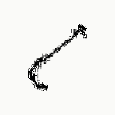 Cc1sc2c(c1C)C(c1ccc(Cl)cc1)=N[C@@H](CC(=O)Nc1ccc(OCCOCCOCCOCCOCCOCCOCCOCCOCCNC(=O)CCNC(=O)c3cc(NC(=O)c4nc(NC(=O)CCNC(=O)c5cc(NC(=O)c6nc(NC(=O)CCNC(=O)c7cc(NC(=O)c8nccn8C)cn7C)cn6C)cn5C)cn4C)cn3C)cc1)c1nnc(C)n1-2